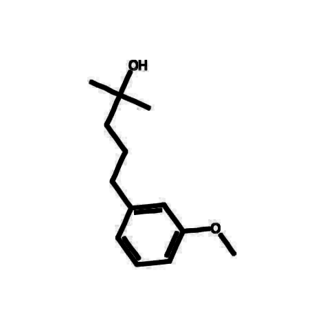 COc1cccc(CCCC(C)(C)O)c1